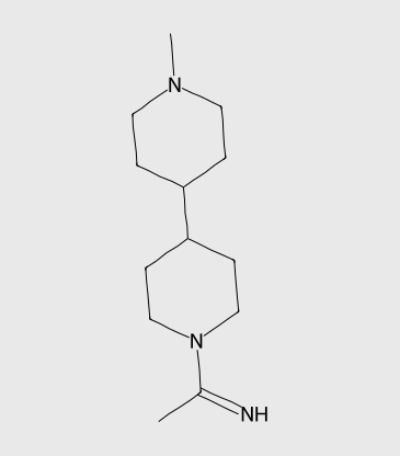 CC(=N)N1CCC(C2CCN(C)CC2)CC1